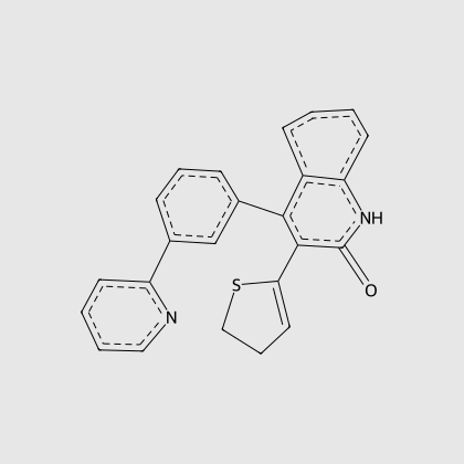 O=c1[nH]c2ccccc2c(-c2cccc(-c3ccccn3)c2)c1C1=CCCS1